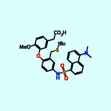 COc1ccc(CC(=O)O)cc1Oc1ccc(NS(=O)(=O)c2cccc3c(N(C)C)cccc23)cc1CSC(C)(C)C